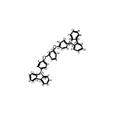 c1cc(Oc2ccc(-n3c4ccccc4c4ccccc43)cc2)cc(Oc2ccc(-n3c4ccccc4c4ccccc43)cc2)c1